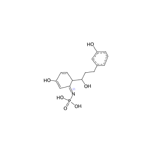 O=P(O)(O)/N=C1\C=C(O)C=CC1C(O)CCc1cccc(O)c1